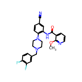 COc1ncccc1C(=O)Nc1cc(C#N)ccc1N1CCN(Cc2ccc(F)c(F)c2)CC1